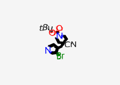 CC(C)(C)OC(=O)N1CCC(C#N)(Cc2ccncc2Br)CC1